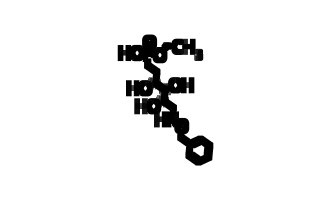 CCOP(=O)(O)CC[C@@H](O)[C@@H](O)[C@@H](O)CNOCc1ccccc1